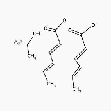 C/C=C/C=C/C(=O)[O-].C/C=C/C=C/C(=O)[O-].CCO.[Ca+2]